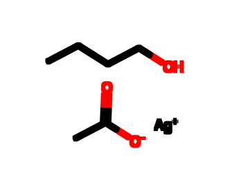 CC(=O)[O-].CCCCO.[Ag+]